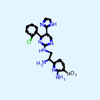 Nc1nc(C(N)CNc2ncc(-c3ncc[nH]3)c(-c3ccccc3Cl)n2)ccc1[N+](=O)[O-]